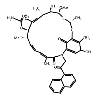 CO[C@H]1/C=C\C=C(/C)C(=O)N(CC(=O)c2cccc3ccccc23)C2=CC(O)C(N)=C(C[C@@H](C)C[C@H](OC)[C@H](O)[C@@H](C)/C=C(\C)[C@@H]1OC(N)=O)C2=O